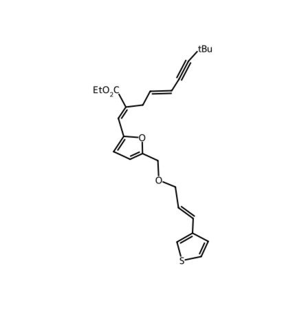 CCOC(=O)C(=Cc1ccc(COCC=Cc2ccsc2)o1)CC=CC#CC(C)(C)C